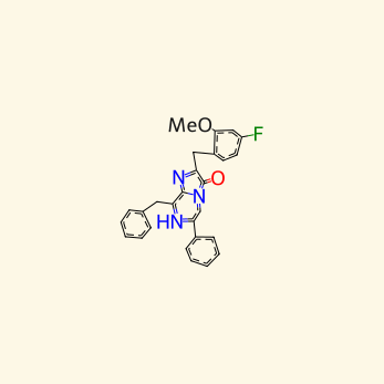 COc1cc(F)ccc1Cc1nc2c(Cc3ccccc3)[nH]c(-c3ccccc3)cn-2c1=O